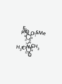 CSCOc1cc(/C=C/n2c(C)cc(=O)cc2C)ccc1OC(F)F